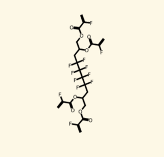 C=C(F)C(=O)OCC(CC(F)(F)C(F)(F)C(F)(F)C(F)(F)CC(COC(=O)C(=C)F)OC(=O)C(=C)F)OC(=O)C(=C)F